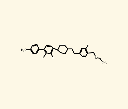 CCOCc1ccc(CCC2CCC(c3ccc(-c4ccc(C)cc4)c(F)c3F)CC2)cc1F